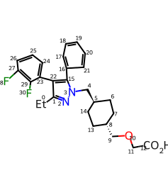 CCc1nn(C[C@H]2CC[C@H](COCC(=O)O)CC2)c(-c2ccccc2)c1-c1cccc(F)c1F